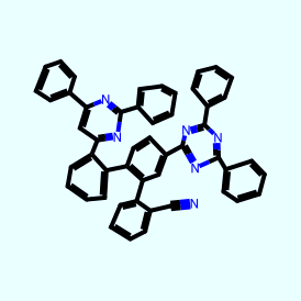 N#Cc1ccccc1-c1cc(-c2nc(-c3ccccc3)nc(-c3ccccc3)n2)ccc1-c1ccccc1-c1cc(-c2ccccc2)nc(-c2ccccc2)n1